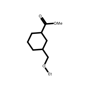 CCOCC1CCCC(C(=O)OC)C1